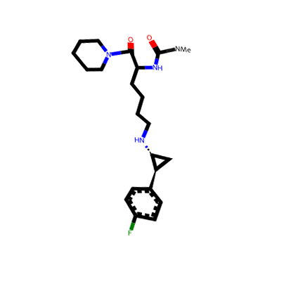 CNC(=O)NC(CCCCN[C@@H]1C[C@H]1c1ccc(F)cc1)C(=O)N1CCCCC1